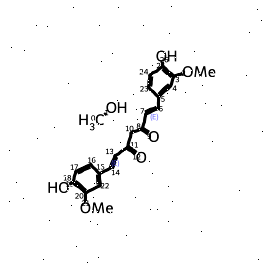 CO.COc1cc(/C=C/C(=O)CC(=O)/C=C/c2ccc(O)c(OC)c2)ccc1O